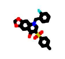 Cc1ccc(S(=O)(=O)c2cn(Cc3ccccc3F)c3cc4c(cc3c2=O)OCO4)cc1